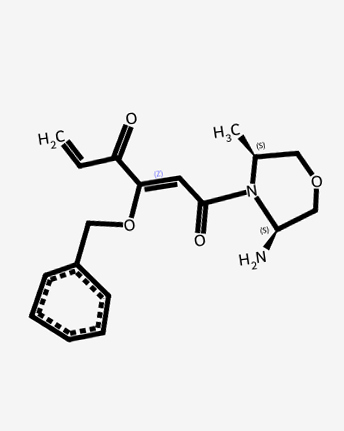 C=CC(=O)/C(=C/C(=O)N1[C@H](N)COC[C@@H]1C)OCc1ccccc1